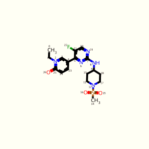 CCn1cc(-c2nc(NC3CCN(S(C)(=O)=O)CC3)ncc2F)ccc1=O